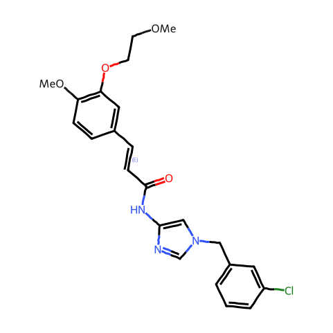 COCCOc1cc(/C=C/C(=O)Nc2cn(Cc3cccc(Cl)c3)cn2)ccc1OC